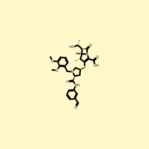 COc1cccc(CN2C[C@@H](SC3=C(C(=O)O)N4C(=O)[C@H]([C@@H](C)O)[C@H]4[C@H]3C)C[C@H]2C(=O)Nc2cccc(C=O)c2)c1OC